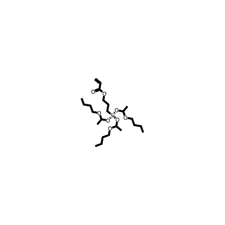 C=CC(=O)OCCC[Si](OC(C)OCCCC)(OC(C)OCCCC)OC(C)OCCCC